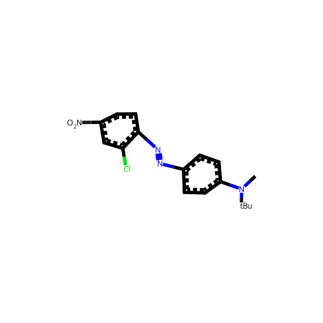 CN(c1ccc(/N=N/c2ccc([N+](=O)[O-])cc2Cl)cc1)C(C)(C)C